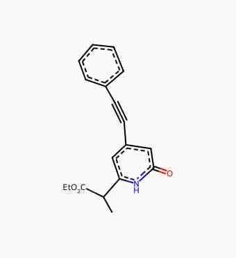 CCOC(=O)C(C)c1cc(C#Cc2ccccc2)cc(=O)[nH]1